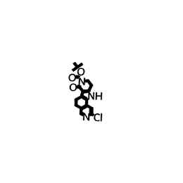 CC(C)(C)OC(=O)N1CCc2[nH]c3c(c2C1=O)CCc1cnc(Cl)cc1-3